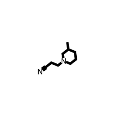 CC1CCCN(CCC#N)C1